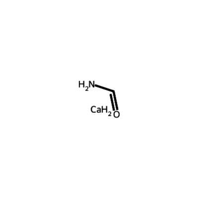 NC=O.[CaH2]